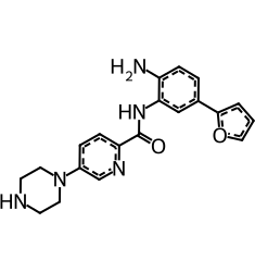 Nc1ccc(-c2ccco2)cc1NC(=O)c1ccc(N2CCNCC2)cn1